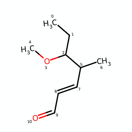 CCC(OC)C(C)/C=C/C=O